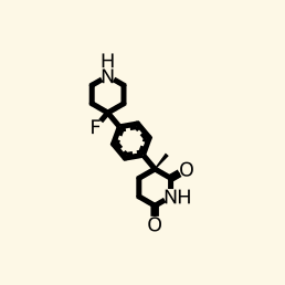 C[C@]1(c2ccc(C3(F)CCNCC3)cc2)CCC(=O)NC1=O